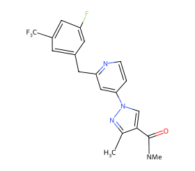 CNC(=O)c1cn(-c2ccnc(Cc3cc(F)cc(C(F)(F)F)c3)c2)nc1C